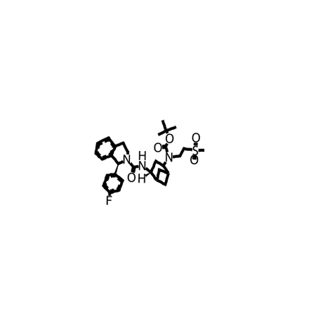 CC(C)(C)OC(=O)N(CCS(C)(=O)=O)C1C[C@@H](NC(=O)N2CCc3ccccc3[C@@H]2c2ccc(F)cc2)C2CC1C2